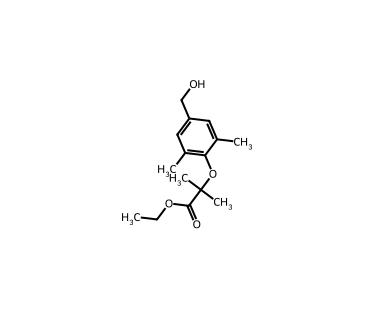 CCOC(=O)C(C)(C)Oc1c(C)cc(CO)cc1C